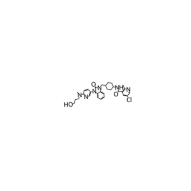 Cc1ncc(Cl)cc1C(=O)NC1CCC(Cn2c(=O)n(-c3ccc(N(C)CCCO)nc3)c3ccccc32)CC1